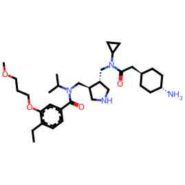 CCc1ccc(C(=O)N(C[C@@H]2CNC[C@H]2CN(C(=O)C[C@H]2CC[C@H](N)CC2)C2CC2)C(C)C)cc1OCCCOC